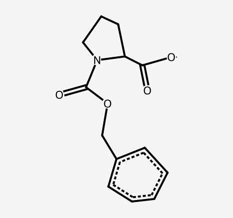 [O]C(=O)C1CCCN1C(=O)OCc1ccccc1